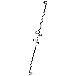 O=C(CCCCCCCCCCCCCCCCCO)NCCNC(=O)CCCCCCCCCCCCCCCCCO